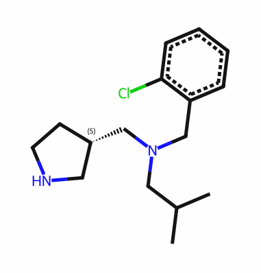 CC(C)CN(Cc1ccccc1Cl)C[C@H]1CCNC1